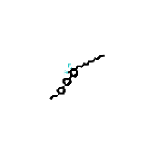 CCCCCCCCCCc1ccc(C2=CCC([C@H]3CC[C@H](CCC)CC3)C=C2)c(F)c1F